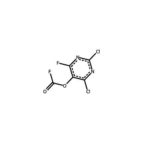 O=C(F)Oc1c(F)nc(Cl)nc1Cl